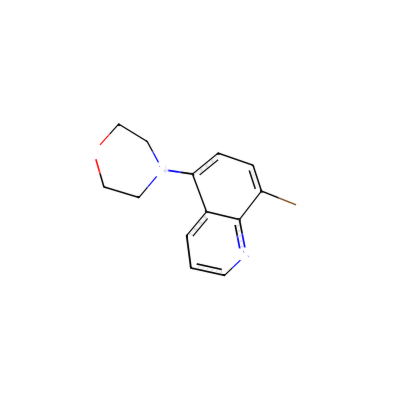 Brc1ccc(N2CCOCC2)c2cccnc12